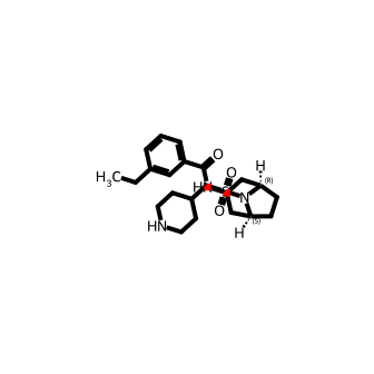 CCc1cccc(C(=O)NC2C[C@H]3CC[C@@H](C2)N3S(=O)(=O)CC2CCNCC2)c1